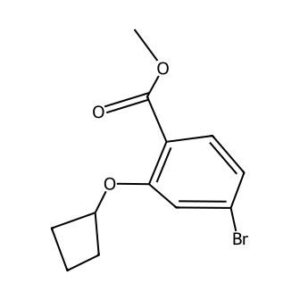 COC(=O)c1ccc(Br)cc1OC1CCC1